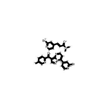 CN(C)C(=O)C=Cc1ccnc(Br)c1.Cc1ccc(C(=O)c2cnn3c(-c4ccnc(Br)c4)ccnc23)nc1